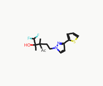 CC(=O)C(C)(CCn1ccc(-c2cccs2)n1)C(C)(O)C(F)F